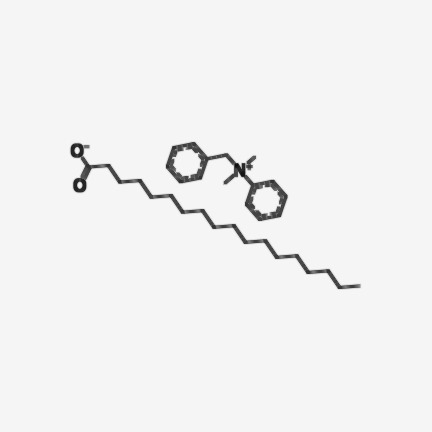 CCCCCCCCCCCCCCCCCC(=O)[O-].C[N+](C)(Cc1ccccc1)c1ccccc1